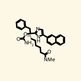 CNC(=O)CCCCC[C@@](Cc1ccccc1)(OC(N)=O)c1ncc(-c2ccc3ccccc3c2)[nH]1